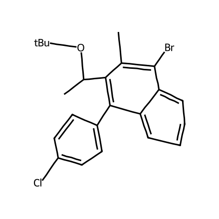 Cc1c(C(C)OC(C)(C)C)c(-c2ccc(Cl)cc2)c2ccccc2c1Br